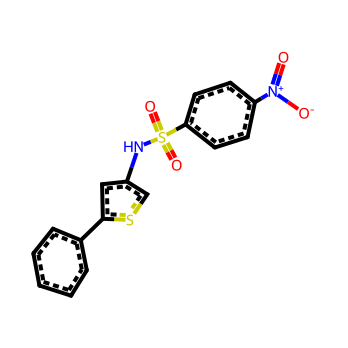 O=[N+]([O-])c1ccc(S(=O)(=O)Nc2csc(-c3ccccc3)c2)cc1